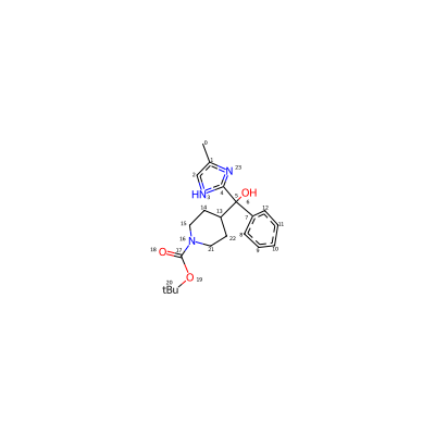 Cc1c[nH]c(C(O)(c2ccccc2)C2CCN(C(=O)OC(C)(C)C)CC2)n1